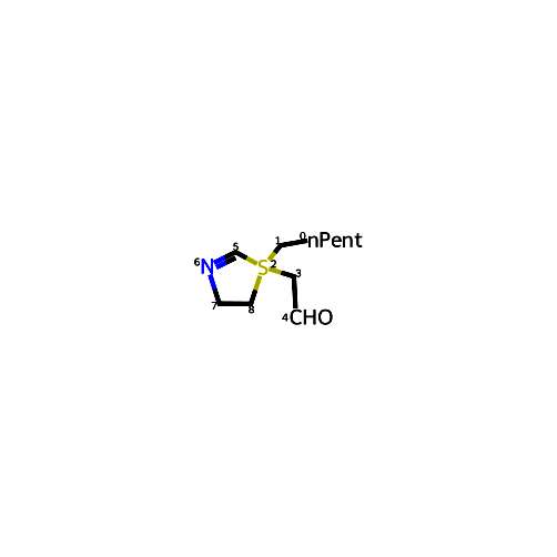 CCCCCCS1(CC=O)C=NCC1